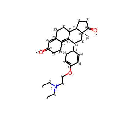 CCN(CC)CCOC1=CCC([C@@H]2C[C@]3(C)C(=O)CCC3C3CCC4=CC(=O)CCC4=C32)C=C1